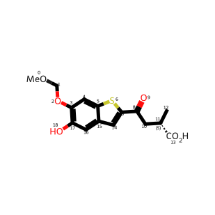 COCOc1cc2sc(C(=O)C[C@H](C)C(=O)O)cc2cc1O